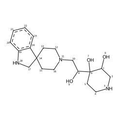 OC1CNCCC1(O)C(O)CN1CCC2(CC1)CNc1ccccc12